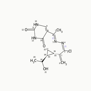 C=C(/C(Cl)=N\N=C(/C)c1c[nH]c(=O)[nH]c1=O)[C@H]1C[C@@H]1C(C)O